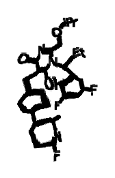 CCC(c1cc(F)cc(F)c1)n1c(COC(C)C)nc(=O)c(Cc2ccc(-c3ccc(F)nc3C)cc2)c1O